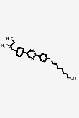 CCCCCC/C=C/Oc1ccc(-c2ncc(-c3ccc(C[C@@H](C)CC)cc3)cn2)cc1